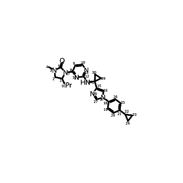 CC(C)C1CN(C)C(=O)N1c1ccnc(NC2(c3cn(-c4ccc(C5CC5)cc4)cn3)CC2)n1